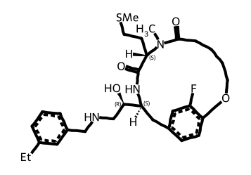 CCc1cccc(CNC[C@@H](O)[C@@H]2Cc3ccc(c(F)c3)OCCCCC(=O)N(C)[C@@H](CCSC)C(=O)N2)c1